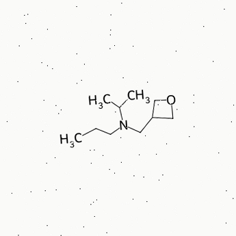 CCCN(CC1COC1)C(C)C